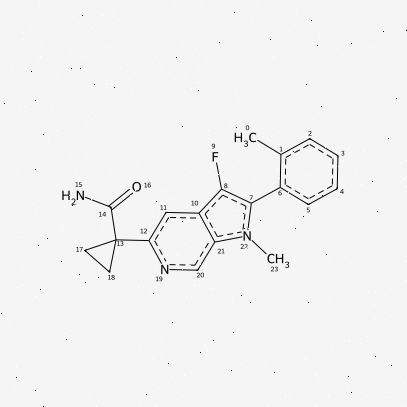 Cc1ccccc1-c1c(F)c2cc(C3(C(N)=O)CC3)ncc2n1C